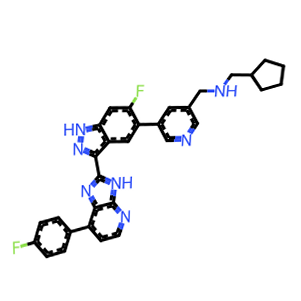 Fc1ccc(-c2ccnc3[nH]c(-c4n[nH]c5cc(F)c(-c6cncc(CNCC7CCCC7)c6)cc45)nc23)cc1